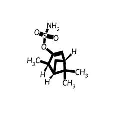 C[C@@H]1C(OS(N)(=O)=O)=C[C@H]2C[C@@H]1C2(C)C